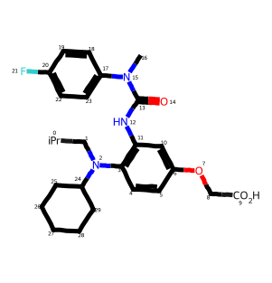 CC(C)CN(c1ccc(OCC(=O)O)cc1NC(=O)N(C)c1ccc(F)cc1)C1CCCCC1